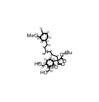 COC(=O)C(CCCN(C)CCc1ccc(C)c(OC)c1)(C(=O)OC(C)(C)C)c1ccc(CO)c(CO)c1